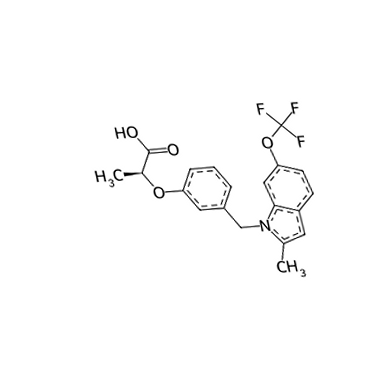 Cc1cc2ccc(OC(F)(F)F)cc2n1Cc1cccc(O[C@@H](C)C(=O)O)c1